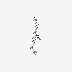 C=CC(=O)OCCOC(=O)C1CCC(C2CCC(C(=O)Oc3ccc(OC(=O)C4CCC(C5CCC(C(=O)OCCOC(=O)C=C)CC5)CC4)c4c(OC(C)=O)cccc34)CC2)CC1